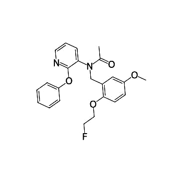 COc1ccc(OCCF)c(CN(C(C)=O)c2cccnc2Oc2ccccc2)c1